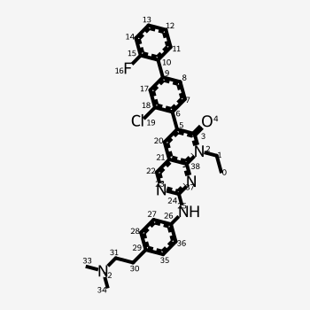 CCn1c(=O)c(-c2ccc(-c3ccccc3F)cc2Cl)cc2cnc(Nc3ccc(CCN(C)C)cc3)nc21